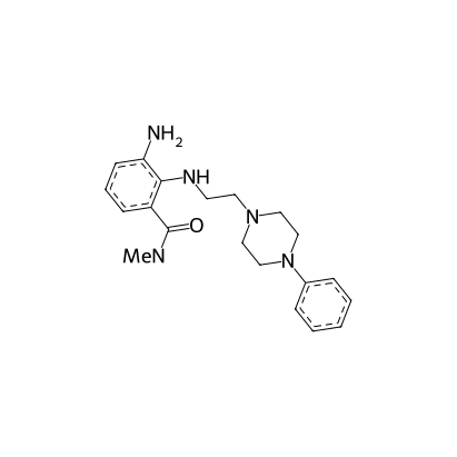 CNC(=O)c1cccc(N)c1NCCN1CCN(c2ccccc2)CC1